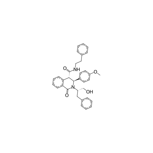 COc1ccc([C@@H]2[C@@H](C(=O)NCCc3ccccc3)c3ccccc3C(=O)N2[C@H](CO)Cc2ccccc2)cc1